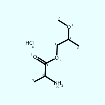 COC(C)COC(=O)C(C)N.Cl